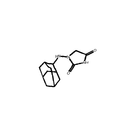 O=C1CN(NC2C3CC4CC(C3)CC2C4)C(=O)N1